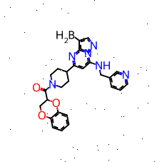 Bc1cnn2c(NCc3cccnc3)cc(C3CCN(C(=O)C4COc5ccccc5O4)CC3)nc12